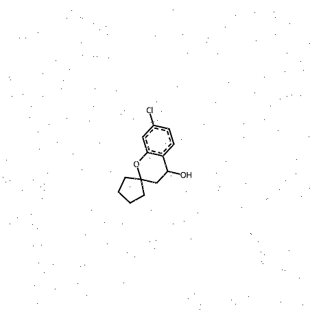 OC1CC2(CCCC2)Oc2cc(Cl)ccc21